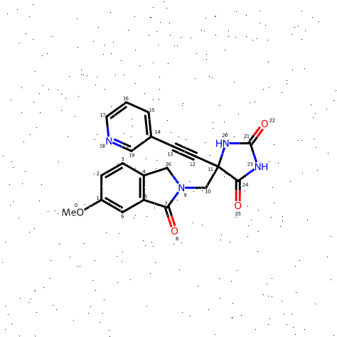 COc1ccc2c(c1)C(=O)N(CC1(C#Cc3cccnc3)NC(=O)NC1=O)C2